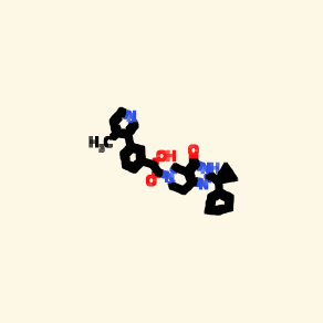 Cc1ccncc1-c1cccc(C(O)C(=O)N2CCc3nc(C4(c5ccccc5)CC4)[nH]c(=O)c3C2)c1